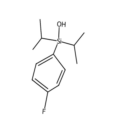 CC(C)[Si](O)(c1ccc(F)cc1)C(C)C